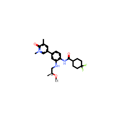 CCO[C@@H](C)CNc1cc(-c2cc(C)c(=O)n(C)c2)ccc1NC(=O)C1CCC(F)(F)CC1